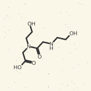 O=C(O)CN(CCO)C(=O)CNCCO